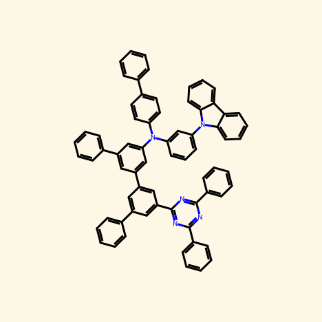 c1ccc(-c2ccc(N(c3cc(-c4ccccc4)cc(-c4cc(-c5ccccc5)cc(-c5nc(-c6ccccc6)nc(-c6ccccc6)n5)c4)c3)c3cccc(-n4c5ccccc5c5ccccc54)c3)cc2)cc1